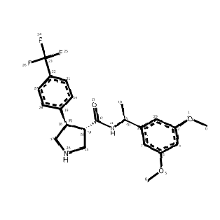 COc1cc(OC)cc([C@H](C)NC(=O)[C@@H]2CNC[C@H]2c2ccc(C(F)(F)F)cc2)c1